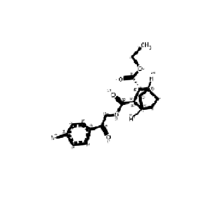 CCOC(=O)[C@@H]1[C@@H]2CC[C@@H](C2)[C@H]1C(=O)OCC(=O)c1ccc(Br)cc1